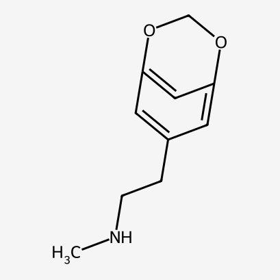 CNCCc1cc2cc(c1)OCO2